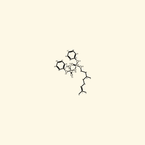 CC(C)=CCCC(C)CCOP(=O)(Oc1ccccc1)OP(=O)(O)Oc1ccccc1